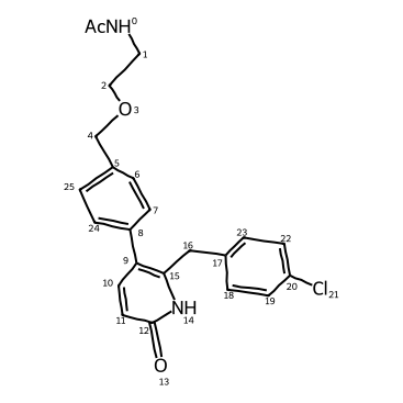 CC(=O)NCCOCc1ccc(-c2ccc(=O)[nH]c2Cc2ccc(Cl)cc2)cc1